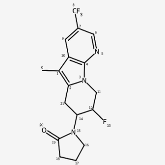 Cc1c2n(c3ncc(C(F)(F)F)cc13)CC(F)C(N1CCCC1=O)C2